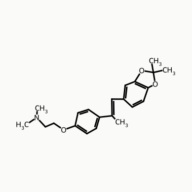 C/C(=C\c1ccc2c(c1)OC(C)(C)O2)c1ccc(OCCN(C)C)cc1